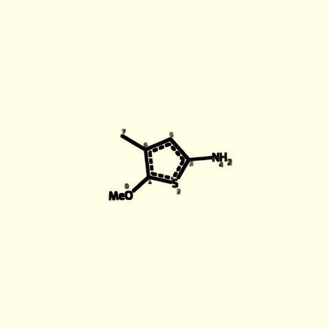 COc1sc(N)cc1C